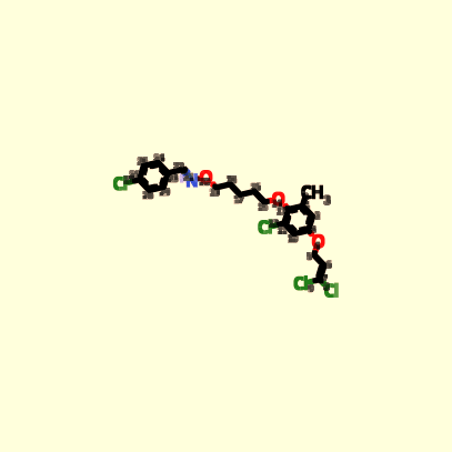 Cc1cc(OCC=C(Cl)Cl)cc(Cl)c1OCCCCCO/N=C/c1ccc(Cl)cc1